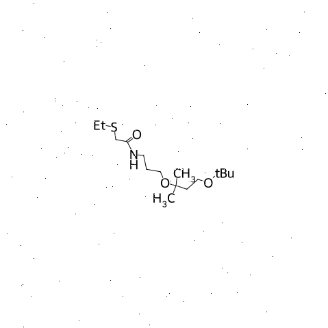 CCSCC(=O)NCCCOC(C)(C)CCOC(C)(C)C